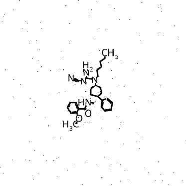 CCCCCCN(C(N)=NC#N)[C@H]1CC[C@@](CNC(=O)c2ccccc2OC)(c2ccccc2)CC1